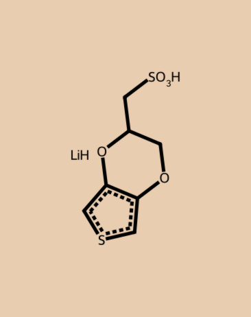 O=S(=O)(O)CC1COc2cscc2O1.[LiH]